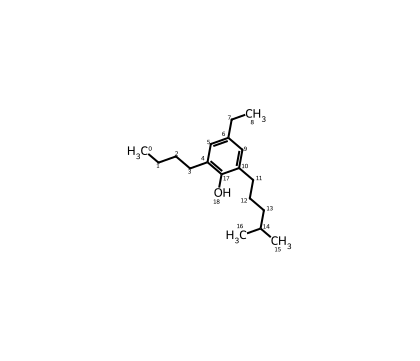 CCCCc1cc(CC)cc(CCCC(C)C)c1O